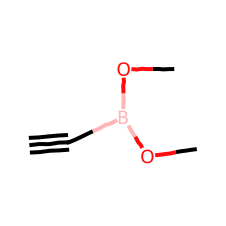 C#CB(OC)OC